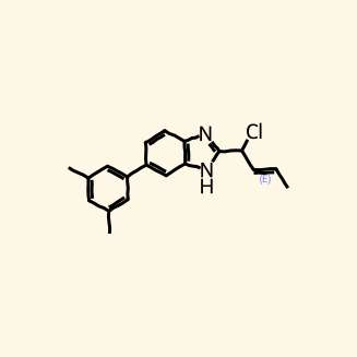 C/C=C/C(Cl)c1nc2ccc(-c3cc(C)cc(C)c3)cc2[nH]1